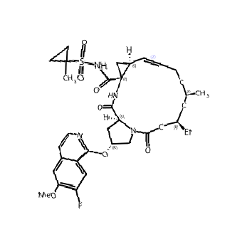 CC[C@H]1CC(=O)N2C[C@H](Oc3nccc4cc(OC)c(F)cc34)C[C@H]2C(=O)N[C@]2(C(=O)NS(=O)(=O)C3(C)CC3)C[C@H]2/C=C\CC[C@@H](C)C1